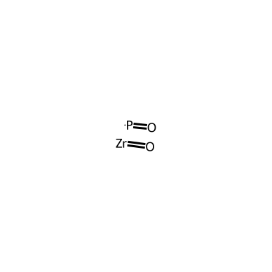 O=[P].[O]=[Zr]